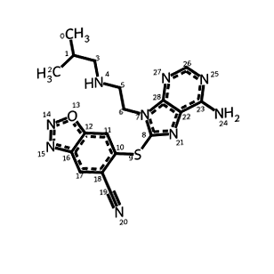 CC(C)CNCCn1c(Sc2cc3onnc3cc2C#N)nc2c(N)ncnc21